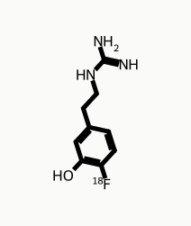 N=C(N)NCCc1ccc([18F])c(O)c1